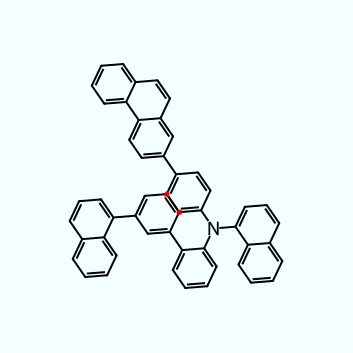 c1cc(-c2ccccc2N(c2ccc(-c3ccc4c(ccc5ccccc54)c3)cc2)c2cccc3ccccc23)cc(-c2cccc3ccccc23)c1